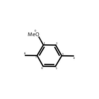 [CH2]Oc1cc(C)ccc1C